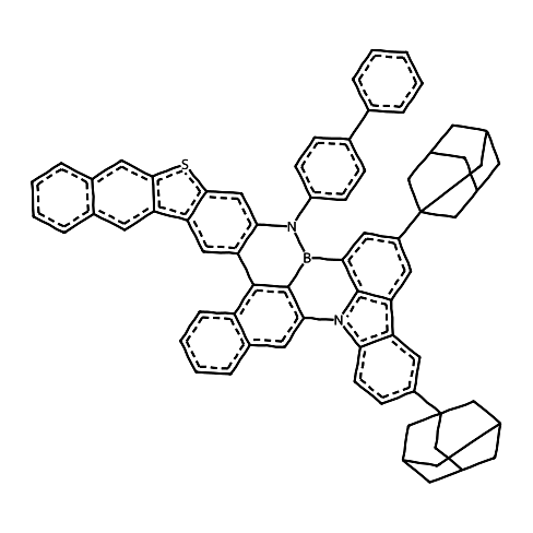 c1ccc(-c2ccc(N3B4c5c(cc6ccccc6c5-c5cc6c(cc53)sc3cc5ccccc5cc36)-n3c5ccc(C67CC8CC(CC(C8)C6)C7)cc5c5cc(C67CC8CC(CC(C8)C6)C7)cc4c53)cc2)cc1